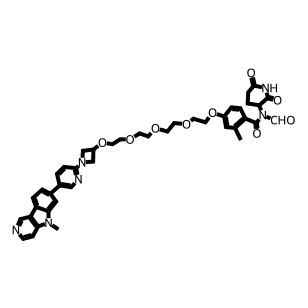 Cc1cc(OCCOCCOCCOCCOC2CN(c3ccc(-c4ccc5c6cnccc6n(C)c5c4)cn3)C2)ccc1C(=O)N(C=O)C1CCC(=O)NC1=O